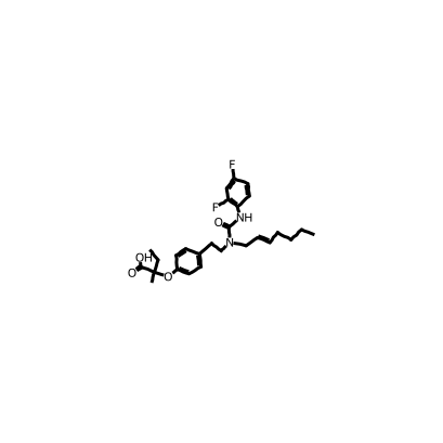 CCCC/C=C/CN(CCc1ccc(OC(C)(CC)C(=O)O)cc1)C(=O)Nc1ccc(F)cc1F